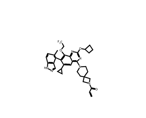 C=CC(=O)N1CC2(CCN(c3nc(OC4CCC4)nc4c(OCC(F)(F)F)c(-c5c(C)ccc6[nH]ncc56)c(C5CC5)cc34)CC2)C1